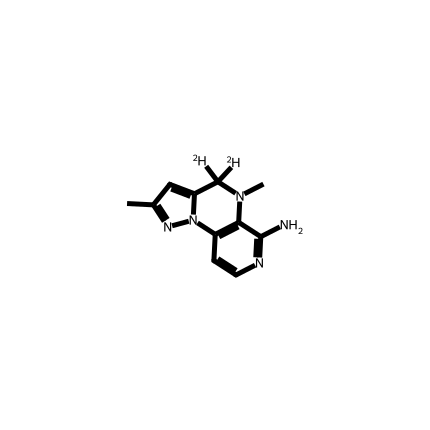 [2H]C1([2H])c2cc(C)nn2-c2ccnc(N)c2N1C